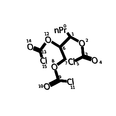 CCCC(OC(=O)Cl)C(COC(=O)Cl)OC(=O)Cl